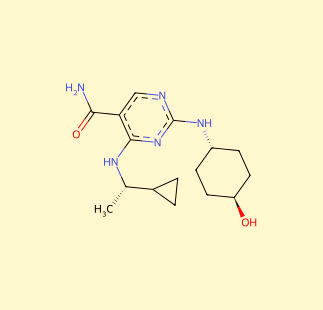 C[C@H](Nc1nc(N[C@H]2CC[C@H](O)CC2)ncc1C(N)=O)C1CC1